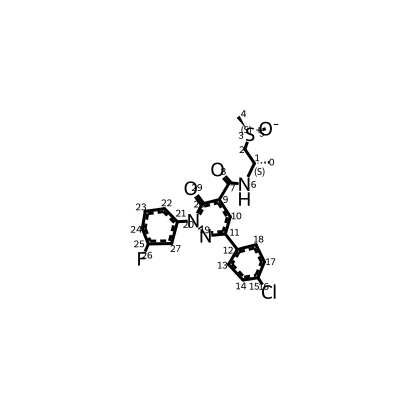 C[C@@H](C[S@@+](C)[O-])NC(=O)c1cc(-c2ccc(Cl)cc2)nn(-c2cccc(F)c2)c1=O